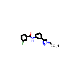 O=C(O)Cn1cc(-c2cccc(NC(=O)c3cccc(F)c3)c2)nn1